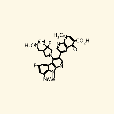 CNc1cc(F)cc2c1[nH]c1ncc(-c3cnc4c(c3)c(=O)c(C(=O)O)cn4C)c(N3CC(CN(C)C)C(F)(F)C3)c12